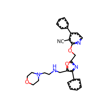 N#Cc1c(-c2ccccc2)ccnc1OCc1nc(-c2ccccc2)c(CNCCN2CCOCC2)o1